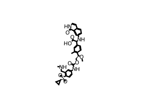 CNCc1cc(NC(=O)OC[C@H](OC)c2ccc(C(Nc3ccc4cc[nH]c(=O)c4c3)C(=O)O)cc2C)ccc1S(=O)(=O)C1CC1